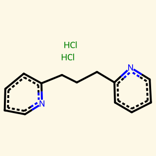 Cl.Cl.c1ccc(CCCc2ccccn2)nc1